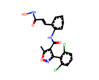 Cc1onc(-c2c(Cl)cccc2Cl)c1C(=O)Nc1ccccc1/C=C/C(=O)NO